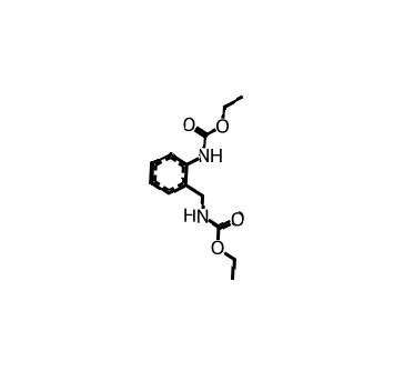 CCOC(=O)NCc1ccccc1NC(=O)OCC